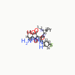 CC(C)C1=C/COC2(O)C3=CCCC(N)=C3C(=O)C2(NC(=O)Nc2ccc(F)cc2)C/C=C\1